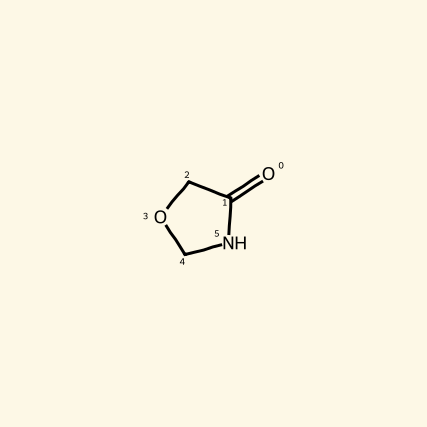 O=C1COCN1